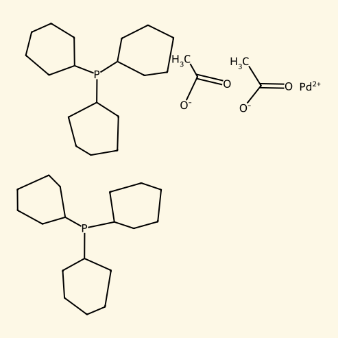 C1CCC(P(C2CCCCC2)C2CCCCC2)CC1.C1CCC(P(C2CCCCC2)C2CCCCC2)CC1.CC(=O)[O-].CC(=O)[O-].[Pd+2]